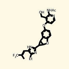 CCc1nc(C2C3Oc4ccc(Oc5ccnc(NC(C)=O)c5CO)cc4C32)[nH]c1/C=C(\C)C(F)(F)F